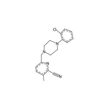 Cc1ccc(CN2CCN(c3ccccc3Cl)CC2)nc1C#N